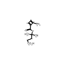 CC(C#N)(CCC(=O)O)SC(=S)C1=CC=C1P